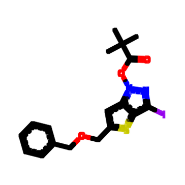 CC(C)(C)C(=O)On1nc(I)c2sc(COCc3ccccc3)cc21